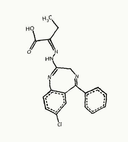 CCC(=NNC1=Nc2ccc(Cl)cc2C(c2ccccc2)=NC1)C(=O)O